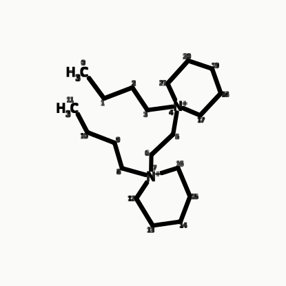 CCCC[N+]1(CC[N+]2(CCCC)CCCCC2)CCCCC1